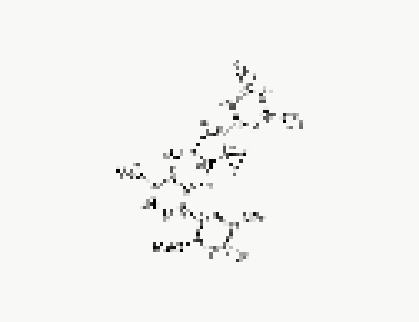 COc1cc(F)c(C(C)C)cc1-c1cnc(SC)nc1CN1C(=O)OC(c2cc(C(F)(F)F)cc(C(F)(F)F)c2)C12CC2